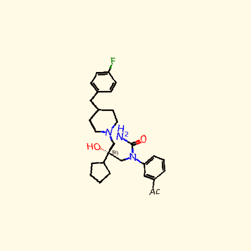 CC(=O)c1cccc(N(C[C@](O)(CN2CCC(Cc3ccc(F)cc3)CC2)C2CCCC2)C(N)=O)c1